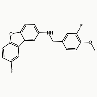 COc1ccc(CNc2ccc3oc4ccc(F)cc4c3c2)cc1F